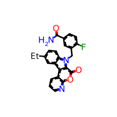 CCc1ccc2c(c1)c1c3cccnc3oc(=O)c1n2Cc1cc(C(N)=O)ccc1F